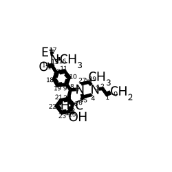 C=CCN1CC(C)N(C(c2ccc(C(=O)N(C)CC)cc2)c2cccc(O)c2)CC1C